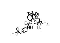 CO[C@@H]1[C@H](OC(=O)NC2CCN(CC(=O)O)CC2)CC[C@]2(CO2)[C@H]1[C@@]1(C)O[C@@H]1CC=C(C)C